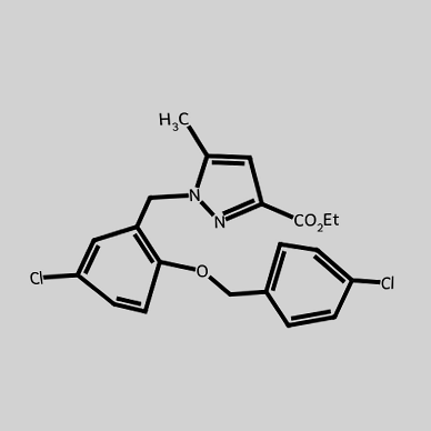 CCOC(=O)c1cc(C)n(Cc2cc(Cl)ccc2OCc2ccc(Cl)cc2)n1